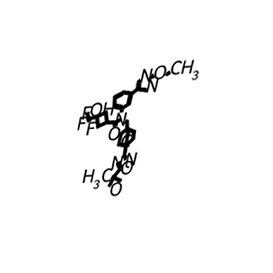 CCOc1ncc(-c2cccc(N(CC34CCC(c5noc(C6(C)COC6)n5)(CC3)CC4)C(=O)C3CC(O)(C(F)(F)F)C3)c2)cn1